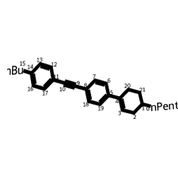 CCCCCC1CC=C(c2ccc(C#Cc3ccc(CCCC)cc3)cc2)CC1